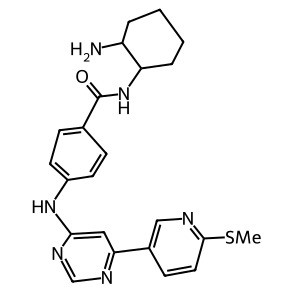 CSc1ccc(-c2cc(Nc3ccc(C(=O)NC4CCCCC4N)cc3)ncn2)cn1